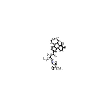 C[C@H](/C=C/S(C)(=O)=O)NC(=O)c1cnc(N2CCOCC[C@H]2c2cccc(F)c2Cl)cn1